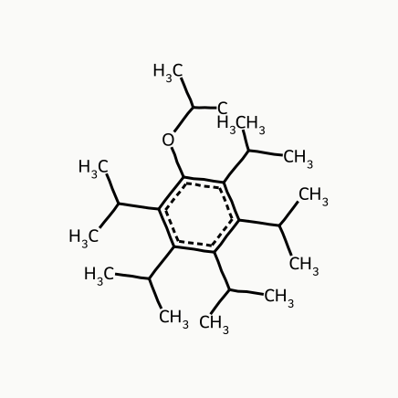 CC(C)Oc1c(C(C)C)c(C(C)C)c(C(C)C)c(C(C)C)c1C(C)C